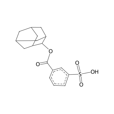 O=C(OC1C2CC3CC(C2)CC1C3)c1cccc(S(=O)(=O)O)c1